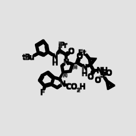 CCC1CC1(NC(=O)[C@@H]1C[C@@H](C2c3cccc(F)c3CN2C(=O)O)CN1C(=O)[C@@H](Nc1cccc(C(C)(C)C)c1)C(C)C)C(=O)NS(=O)(=O)C1CC1